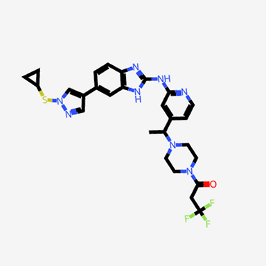 CC(c1ccnc(Nc2nc3ccc(-c4cnn(SC5CC5)c4)cc3[nH]2)c1)N1CCN(C(=O)CC(F)(F)F)CC1